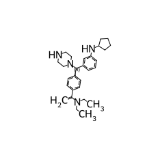 C=C(c1ccc([C@H](c2cccc(NC3CCCC3)c2)N2CCNCC2)cc1)N(CC)CC